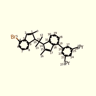 CC1=Cc2c(Br)cccc2C1C(C)(C)C1C(C)=Cc2c(-c3cc(C(C)C)cc(C(C)C)c3)cccc21